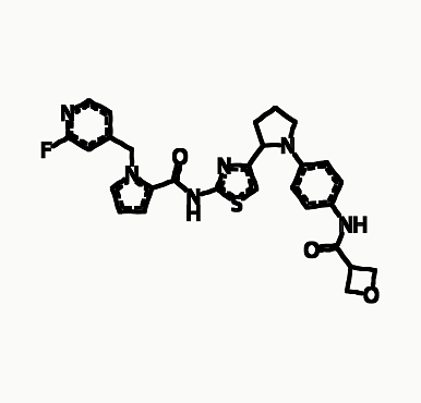 O=C(Nc1nc(C2CCCN2c2ccc(NC(=O)C3COC3)cc2)cs1)c1cccn1Cc1ccnc(F)c1